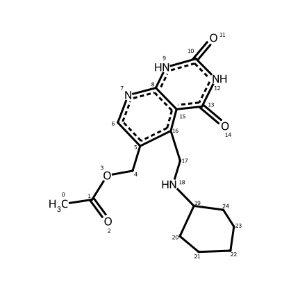 CC(=O)OCc1cnc2[nH]c(=O)[nH]c(=O)c2c1CNC1CCCCC1